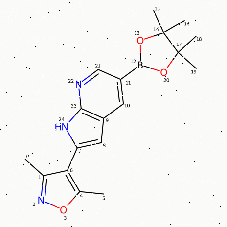 Cc1noc(C)c1-c1cc2cc(B3OC(C)(C)C(C)(C)O3)cnc2[nH]1